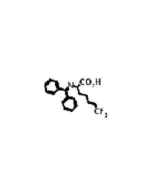 O=C(O)C(CCCCC(F)(F)F)N=C(c1ccccc1)c1ccccc1